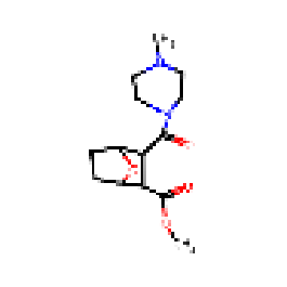 COC(=O)C1C2CCC(O2)C1C(=O)N1CCN(C)CC1